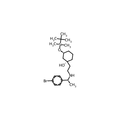 C[C@H](NCC[C@]1(O)CCC[C@H](O[Si](C)(C)C(C)(C)C)C1)c1ccc(Br)cc1